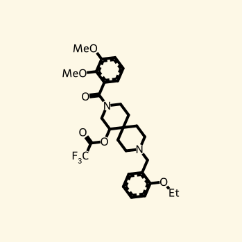 CCOc1ccccc1CN1CCC2(CC1)CCN(C(=O)c1cccc(OC)c1OC)CC2OC(=O)C(F)(F)F